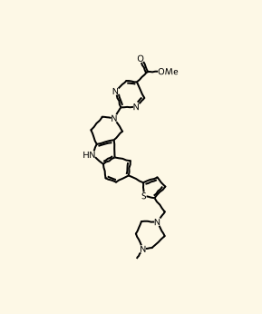 COC(=O)c1cnc(N2CCc3[nH]c4ccc(-c5ccc(CN6CCN(C)CC6)s5)cc4c3C2)nc1